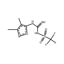 Cc1noc(NC(=N)NS(=O)(=O)C(F)(F)F)c1C